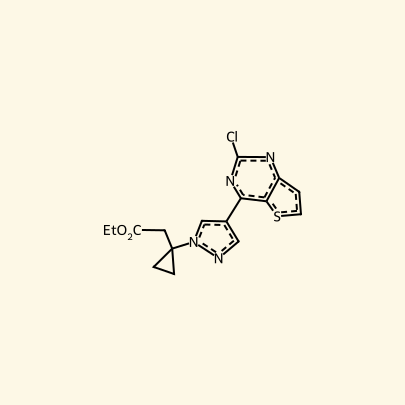 CCOC(=O)CC1(n2cc(-c3nc(Cl)nc4ccsc34)cn2)CC1